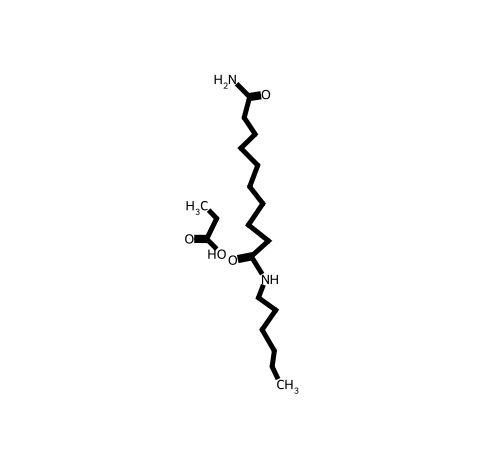 CCC(=O)O.CCCCCCNC(=O)CCCCCCCCC(N)=O